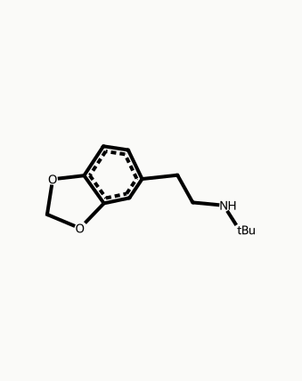 CC(C)(C)NCCc1ccc2c(c1)OCO2